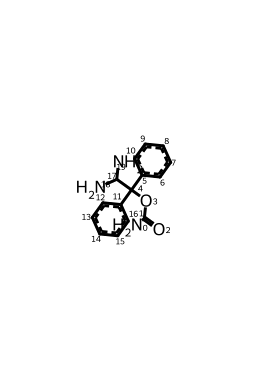 NC(=O)OC(c1ccccc1)(c1ccccc1)C(N)N